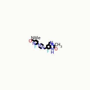 CNC(=O)c1ccc(N2CCN(Cc3cc4cnn5c4c(c3F)NC(=O)[C@@H]5C)CC2)c(F)n1